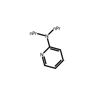 CCCN(CCC)c1c[c]ccn1